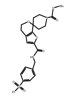 CCS(=O)(=O)c1ccc(CNC(=O)c2cc3c(s2)C2(CCN(C(=O)OC(C)(C)C)CC2)OCC3)cc1